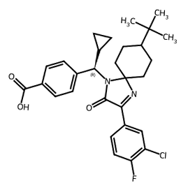 CC(C)(C)C1CCC2(CC1)N=C(c1ccc(F)c(Cl)c1)C(=O)N2[C@@H](c1ccc(C(=O)O)cc1)C1CC1